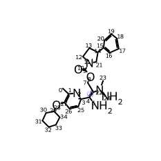 Cc1nc(/C(N)=C(\COC(=O)N2CCC(c3ccccc3)C2)N(C)N)ccc1OC1CCCCC1